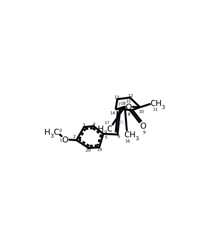 COc1ccc(/C=C2/C(=O)C3(C)CCC2C(C)(C)O3)cc1